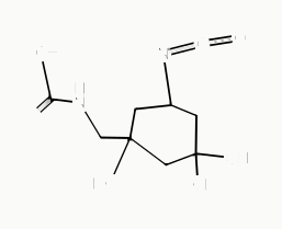 CC(=O)NCC1(C)CC(N=C=O)CC(C)(C)C1